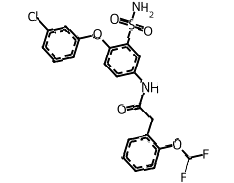 NS(=O)(=O)c1cc(NC(=O)Cc2ccccc2OC(F)F)ccc1Oc1cccc(Cl)c1